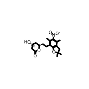 Cc1c(CC[C@@H]2C[C@@H](O)CC(=O)O2)c2c(c(C)c1[N+](=O)[O-])CC(C)(C)O2